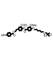 CCCc1ccc(C(=O)OCCc2ccc(OC(=O)c3ccc(OCCCCCCOCC4(CC)COC4)c(OC)c3)c(C=O)c2)cc1